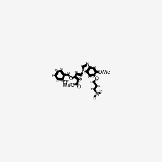 COC(=O)c1sc(-n2cnc3cc(OC)c(OCCCN(C)C)cc32)cc1OCc1ccccc1C(F)(F)F